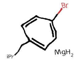 CC(C)c1ccc(Br)cc1.[MgH2]